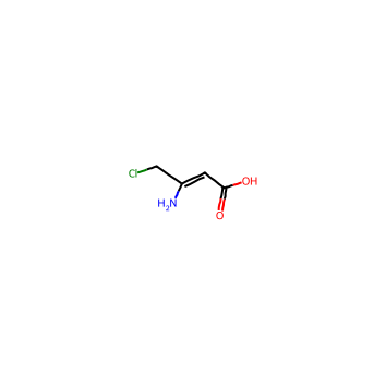 NC(=CC(=O)O)CCl